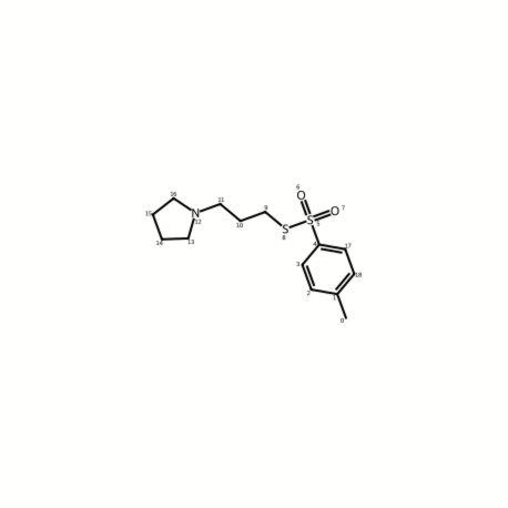 Cc1ccc(S(=O)(=O)SCCCN2CCCC2)cc1